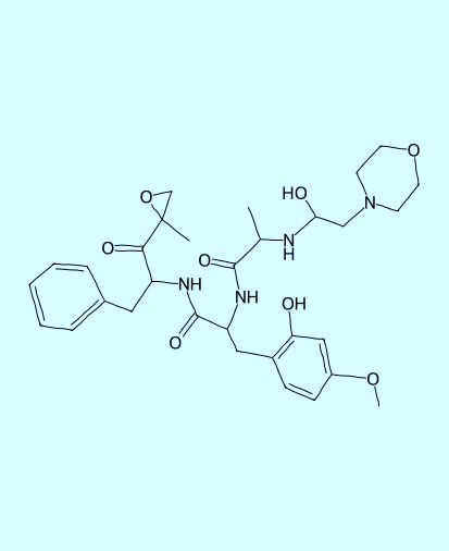 COc1ccc(CC(NC(=O)C(C)NC(O)CN2CCOCC2)C(=O)NC(Cc2ccccc2)C(=O)C2(C)CO2)c(O)c1